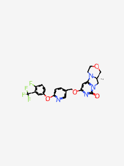 C[C@@]12COCCN1c1cc(OCc3ccc(Oc4ccc(F)c(C(F)(F)F)c4)nc3)nc(=O)n1C2